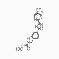 CC(C)(C)OC(=O)NC[C@H]1CC[C@H](c2nc(-c3ncc(C(F)(F)F)cn3)no2)CC1